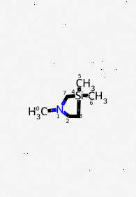 CN1CC[Si](C)(C)C1